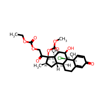 CCOC(=O)OCC(=O)[C@@]1(OC(=O)OC)[C@H](C)C[C@H]2[C@@H]3CCC4=CC(=O)C=C[C@]4(C)[C@@]3(Cl)C(O)C[C@@]21C